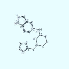 c1csc(CN2CCCC(Nc3ccc4[nH]ncc4c3)C2)c1